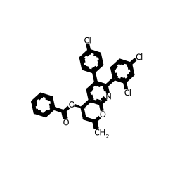 C=C1C[C@@H](OC(=O)c2ccccc2)c2cc(-c3ccc(Cl)cc3)c(-c3ccc(Cl)cc3Cl)nc2O1